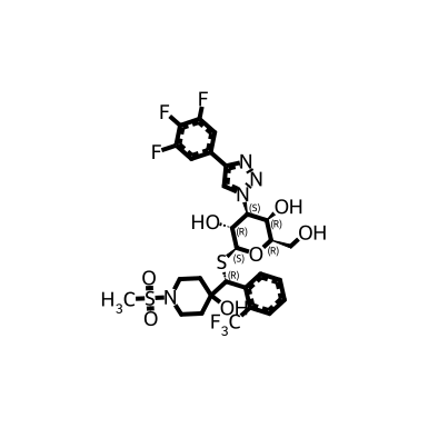 CS(=O)(=O)N1CCC(O)([C@H](S[C@@H]2O[C@H](CO)[C@H](O)[C@H](n3cc(-c4cc(F)c(F)c(F)c4)nn3)[C@H]2O)c2ccccc2C(F)(F)F)CC1